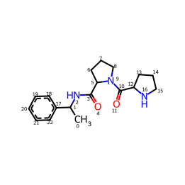 CC(NC(=O)C1CCCN1C(=O)C1CCCN1)c1ccccc1